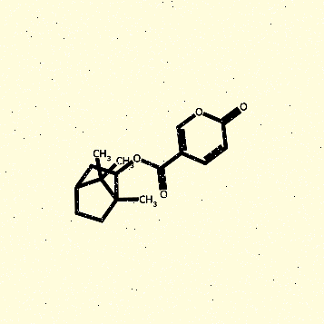 CC1(C)C2CCC1(C)C(OC(=O)c1ccc(=O)oc1)C2